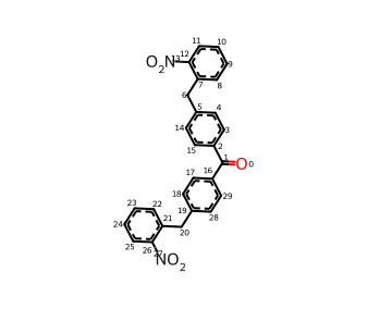 O=C(c1ccc(Cc2ccccc2[N+](=O)[O-])cc1)c1ccc(Cc2ccccc2[N+](=O)[O-])cc1